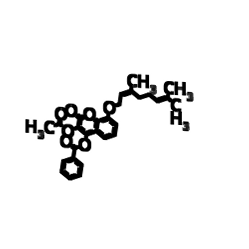 CC(=O)Oc1c(OC(=O)c2ccccc2)c2cccc(OCC=C(C)CCC=C(C)C)c2oc1=O